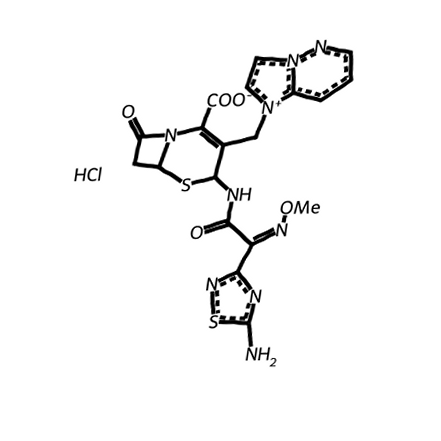 CO/N=C(\C(=O)NC1SC2CC(=O)N2C(C(=O)[O-])=C1C[n+]1ccn2ncccc21)c1nsc(N)n1.Cl